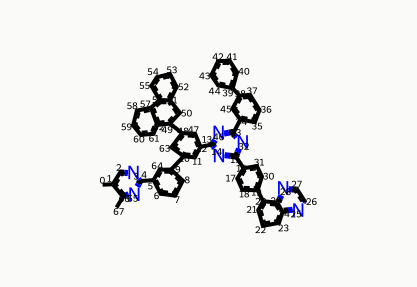 Cc1cnc(-c2cccc(-c3cc(-c4nc(-c5ccc(-c6cccc7nccnc67)cc5)nc(-c5cccc(-c6ccccc6)c5)n4)cc(-c4cc5ccccc5c5ccccc45)c3)c2)nc1C